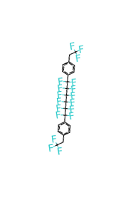 FC(F)(F)Cc1ccc(C(F)(F)C(F)(F)C(F)(F)C(F)(F)C(F)(F)C(F)(F)c2ccc(CC(F)(F)F)cc2)cc1